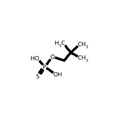 CC(C)(C)COP(O)(O)=S